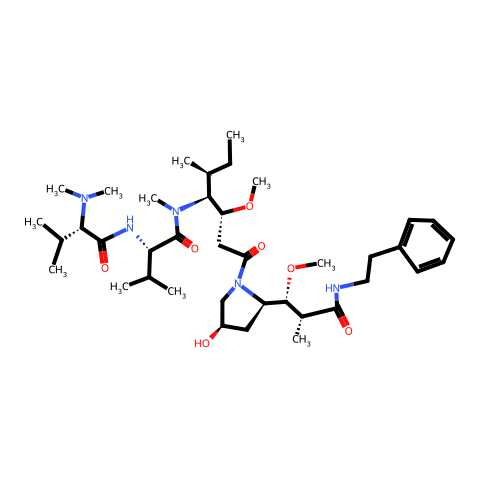 CC[C@H](C)[C@@H]([C@@H](CC(=O)N1C[C@H](O)C[C@@H]1[C@H](OC)[C@@H](C)C(=O)NCCc1ccccc1)OC)N(C)C(=O)[C@@H](NC(=O)[C@H](C(C)C)N(C)C)C(C)C